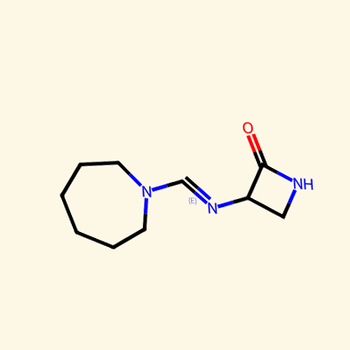 O=C1NCC1/N=C/N1CCCCCC1